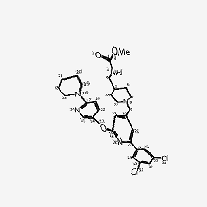 COC(=O)NCC1CCN(Cc2cc(Oc3ccc(N4CCCCC4)nc3)nc(-c3cc(Cl)cc(Cl)c3)c2)CC1